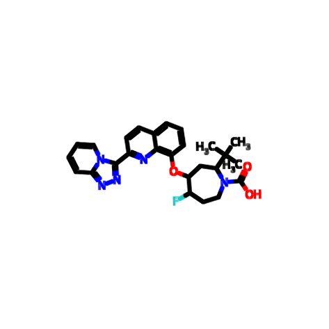 CC(C)(C)C1CC(Oc2cccc3ccc(-c4nnc5ccccn45)nc23)C(F)CCN1C(=O)O